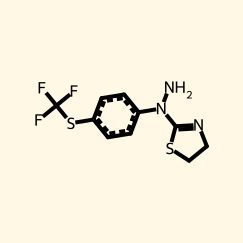 NN(C1=NCCS1)c1ccc(SC(F)(F)F)cc1